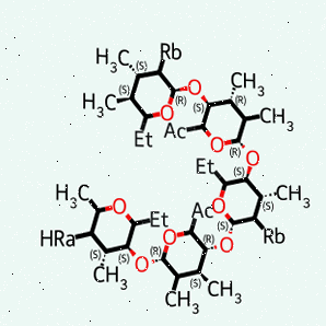 CCC1O[C@H](O[C@@H]2C(C(C)=O)O[C@@H](O[C@@H]3C(CC)O[C@@H](O[C@H]4C(C(C)=O)O[C@@H](O[C@@H]5C(CC)OC(C)[CH]([RaH])[C@H]5C)C(C)[C@@H]4C)[CH]([Rb])[C@H]3C)C(C)[C@H]2C)[CH]([Rb])[C@@H](C)[C@@H]1C